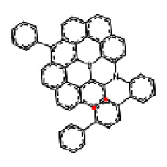 c1ccc(-c2ccc(-c3ccccc3N3c4ccc5ccc6ccc7c(-c8ccccc8)c8ccc9ccc%10ccc3c3c%10c9c8c8c7c6c5c4B38)cc2)cc1